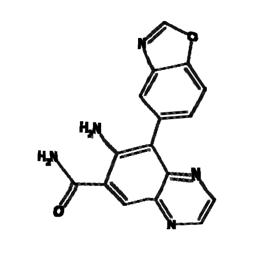 NC(=O)c1cc2nccnc2c(-c2ccc3ocnc3c2)c1N